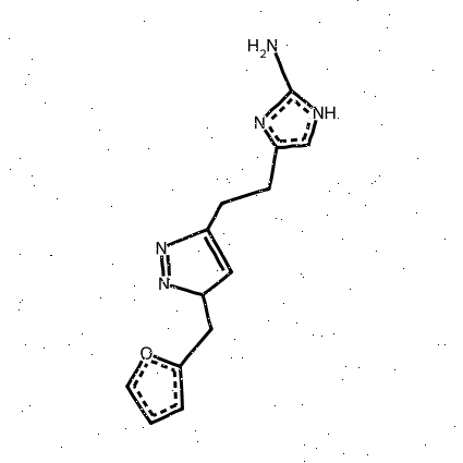 Nc1nc(CCC2=CC(Cc3ccco3)N=N2)c[nH]1